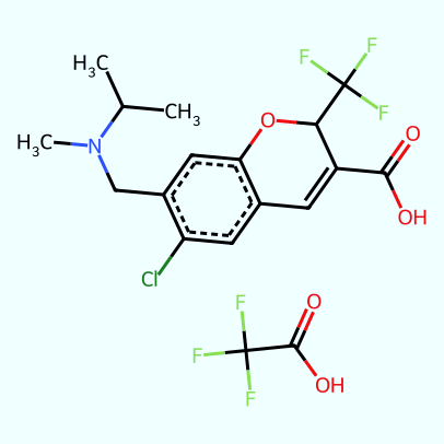 CC(C)N(C)Cc1cc2c(cc1Cl)C=C(C(=O)O)C(C(F)(F)F)O2.O=C(O)C(F)(F)F